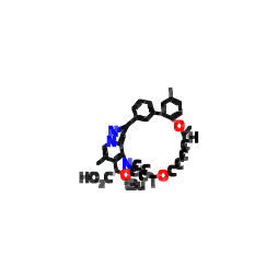 Cc1ccc2c(c1)-c1cccc(c1)-c1cc3c(c([C@H](OC(C)(C)C)C(=O)O)c(C)cn3n1)N1CCC(C)(CC1)OCCCC[C@H](C)O2